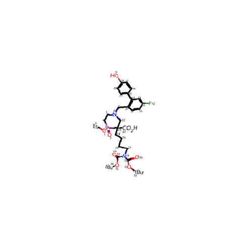 CCOP1(=O)CCN(Cc2ccc(F)cc2-c2ccc(O)cc2)C[C@@]1(CCCCN(C(=O)OC(C)(C)C)C(=O)OC(C)(C)C)C(=O)O